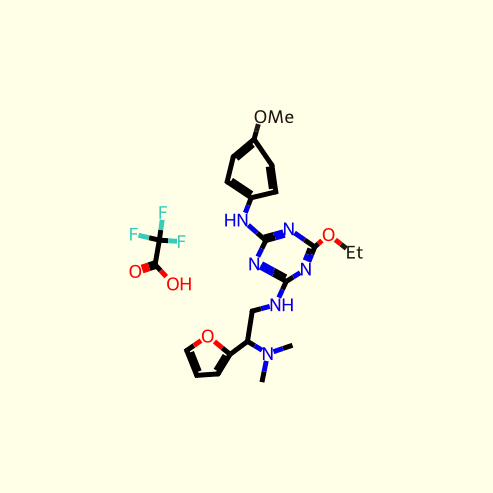 CCOc1nc(NCC(c2ccco2)N(C)C)nc(Nc2ccc(OC)cc2)n1.O=C(O)C(F)(F)F